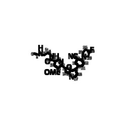 C=CNC[C@H](C)NC(=O)c1cnc(-c2cc3nccc(-c4ccc(N5CC[C@@H](F)C5)c(C#N)c4)c3o2)c(OC)c1